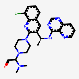 C[C@H](Nc1ncnc2cccnc12)c1cc2cccc(Cl)c2nc1N1CCN(C(C=O)N(C)C)CC1